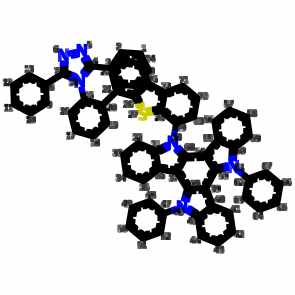 c1ccc(-c2nnc(-c3ccccc3)n2-c2ccccc2-c2cccc3c2sc2c(-n4c5ccccc5c5c6c(c7ccccc7n6-c6ccccc6)c6c(c7ccccc7n6-c6ccccc6)c54)cccc23)cc1